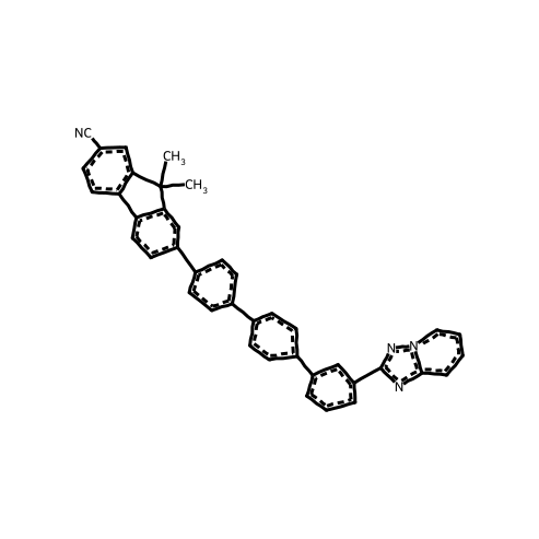 CC1(C)c2cc(C#N)ccc2-c2ccc(-c3ccc(-c4ccc(-c5cccc(-c6nc7ccccn7n6)c5)cc4)cc3)cc21